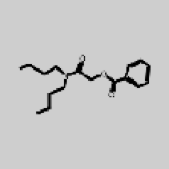 CCCCN(CCCC)C(=O)COC(=O)c1[c]cccc1